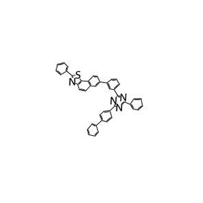 c1ccc(-c2ccc(-c3nc(-c4ccccc4)nc(-c4cccc(-c5ccc6c(ccc7nc(-c8ccccc8)sc76)c5)c4)n3)cc2)cc1